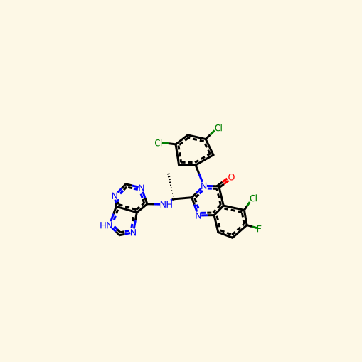 C[C@@H](Nc1ncnc2[nH]cnc12)c1nc2ccc(F)c(Cl)c2c(=O)n1-c1cc(Cl)cc(Cl)c1